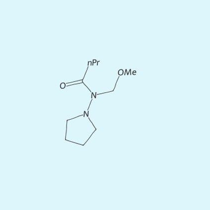 CCCC(=O)N(COC)N1CCCC1